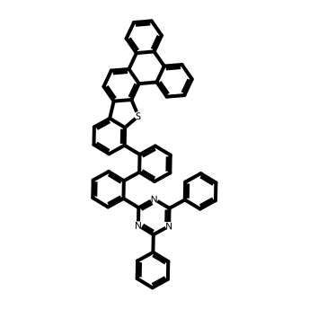 c1ccc(-c2nc(-c3ccccc3)nc(-c3ccccc3-c3ccccc3-c3cccc4c3sc3c4ccc4c5ccccc5c5ccccc5c43)n2)cc1